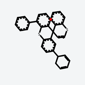 C1=CCC(c2ccc3c(c2)C2(c4ccccc4Sc4ccccc42)c2cccc(-c4ccccc4)c2S3)C=C1